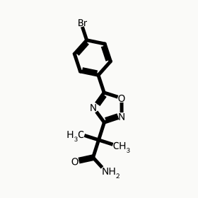 CC(C)(C(N)=O)c1noc(-c2ccc(Br)cc2)n1